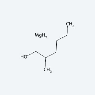 CCCCC(C)CO.[MgH2]